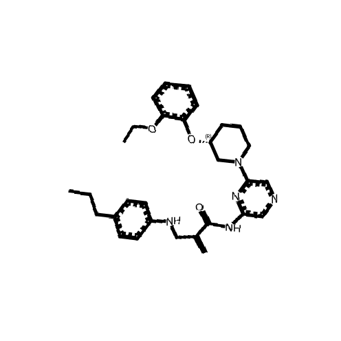 C=C(CNc1ccc(CCC)cc1)C(=O)Nc1cncc(N2CCC[C@@H](Oc3ccccc3OCC)C2)n1